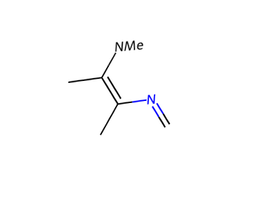 C=N/C(C)=C(/C)NC